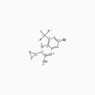 CC(F)(F)c1cc(Br)ccc1O[C@H](C(=O)O)C1CC1